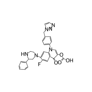 O=C(O)Oc1cn(-c2ccc(Cn3ccnn3)cc2)c2cc(N3CCNC(c4ccccc4)C3)c(F)cc2c1=O